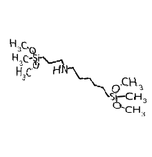 CO[Si](C)(CCCCCCNCCC[Si](C)(OC)OC)OC